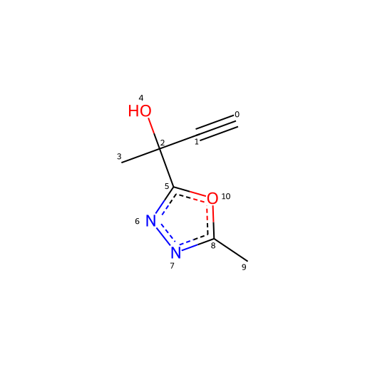 C#CC(C)(O)c1nnc(C)o1